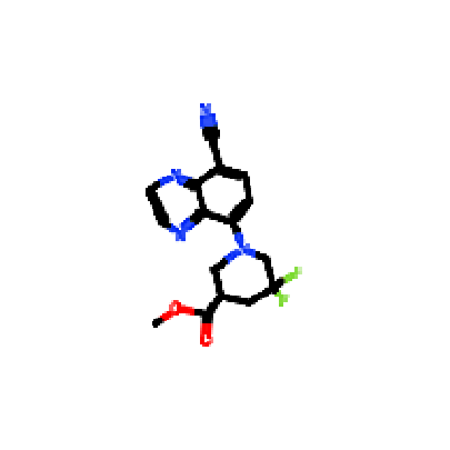 COC(=O)C1CN(c2ccc(C#N)c3nccnc23)CC(F)(F)C1